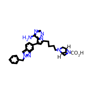 Nc1ncnn2c(CCCCN3C[C@@H]4C[C@H]3CN4C(=O)O)cc(-c3ccc4cn(Cc5ccccc5)nc4c3)c12